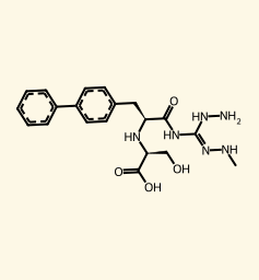 CN/N=C(\NN)NC(=O)[C@H](Cc1ccc(-c2ccccc2)cc1)N[C@@H](CO)C(=O)O